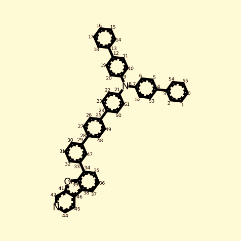 c1ccc(-c2ccc(N(c3ccc(-c4ccccc4)cc3)c3ccc(-c4ccc(-c5cccc(-c6cccc7c6oc6cnccc67)c5)cc4)cc3)cc2)cc1